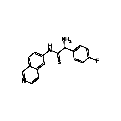 N[C@@H](C(=S)Nc1ccc2cnccc2c1)c1ccc(F)cc1